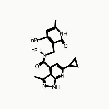 CCCc1cc(C)[nH]c(=O)c1CN(C(=O)c1cc(C2CC2)nc2[nH]nc(C)c12)C(C)(C)C